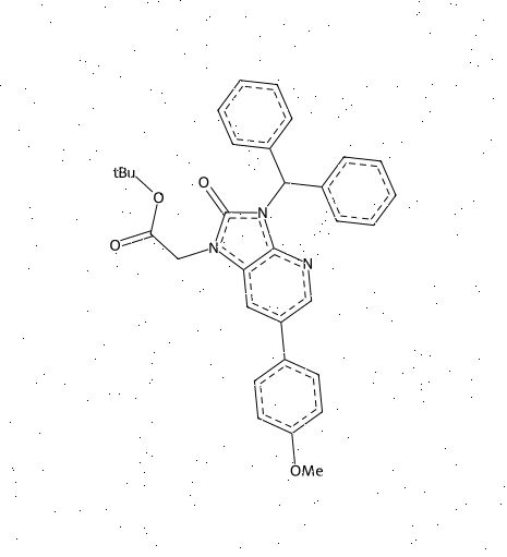 COc1ccc(-c2cnc3c(c2)n(CC(=O)OC(C)(C)C)c(=O)n3C(c2ccccc2)c2ccccc2)cc1